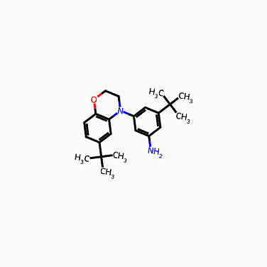 CC(C)(C)c1cc(N)cc(N2CCOc3ccc(C(C)(C)C)cc32)c1